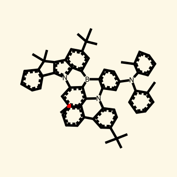 Cc1cc2c3c(c1)-n1c4c(c5cc(C(C)(C)C)cc(c51)B3c1ccc(N(c3ccccc3C)c3ccccc3C)cc1N2c1ccc(C(C)(C)C)cc1-c1ccccc1)C(C)(C)c1ccccc1-4